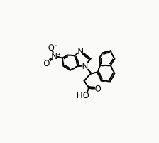 O=C(O)CC(c1cccc2ccccc12)n1cnc2cc([N+](=O)[O-])ccc21